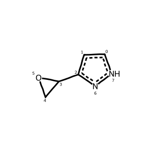 c1cc(C2CO2)n[nH]1